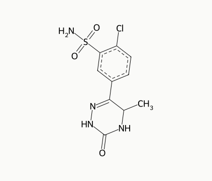 CC1NC(=O)NN=C1c1ccc(Cl)c(S(N)(=O)=O)c1